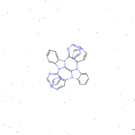 c1ccc2c(c1)N(c1ccncn1)C(=C1N(c3ccncn3)c3ccccc3N1c1ccncn1)N2c1ccncn1